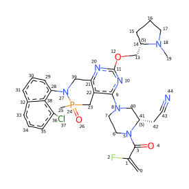 C=C(F)C(=O)N1CCN(c2nc(OC[C@@H]3CCCN3C)nc3c2CP(C)(=O)N(c2cccc4cccc(Cl)c24)C3)C[C@@H]1CC#N